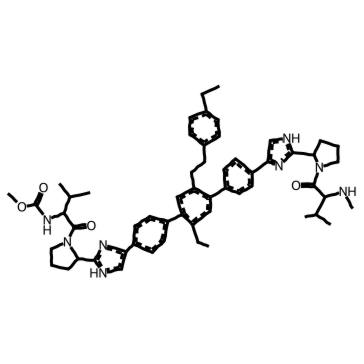 CCc1ccc(CCc2cc(-c3ccc(-c4c[nH]c(C5CCCN5C(=O)C(NC(=O)OC)C(C)C)n4)cc3)c(CC)cc2-c2ccc(-c3c[nH]c(C4CCCN4C(=O)C(NC)C(C)C)n3)cc2)cc1